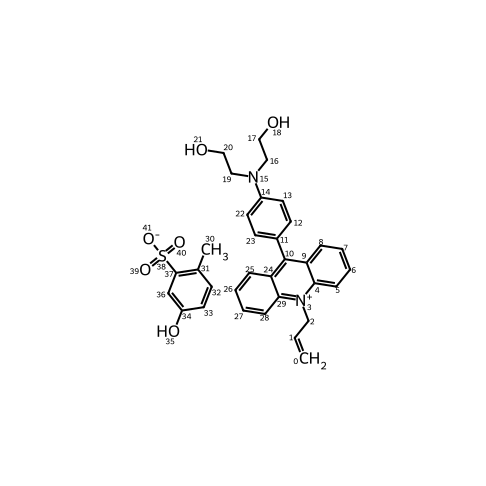 C=CC[n+]1c2ccccc2c(-c2ccc(N(CCO)CCO)cc2)c2ccccc21.Cc1ccc(O)cc1S(=O)(=O)[O-]